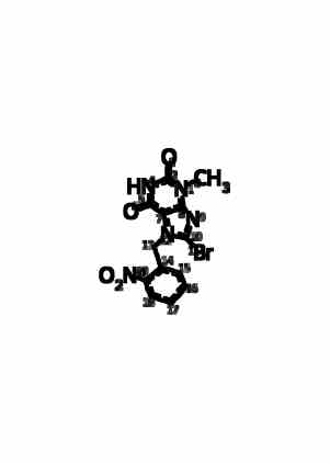 Cn1c(=O)[nH]c(=O)c2c1nc(Br)n2Cc1ccccc1[N+](=O)[O-]